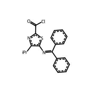 CC(C)c1nc(C(=O)Cl)sc1N=C(c1ccccc1)c1ccccc1